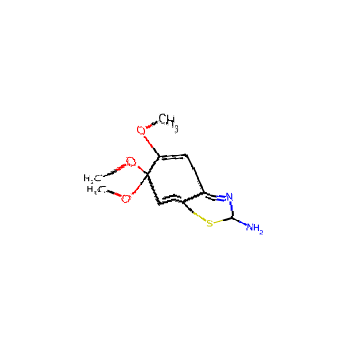 COC1=CC2=NC(N)SC2=CC1(OC)OC